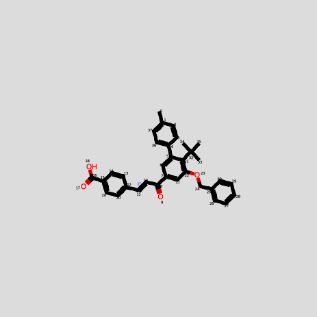 Cc1ccc(-c2cc(C(=O)/C=C/c3ccc(C(=O)O)cc3)cc(OCc3ccccc3)c2C(C)(C)C)cc1